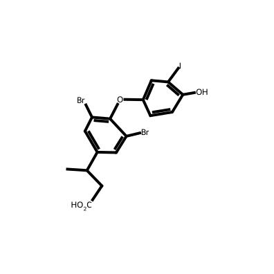 CC(CC(=O)O)c1cc(Br)c(Oc2ccc(O)c(I)c2)c(Br)c1